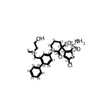 CN(CCO)Cc1cc(N2CCCC(F)(c3cc(Cl)sc3S(N)(=O)=O)C2=O)ccc1-c1ccccc1